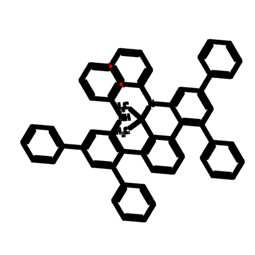 CC1(C)c2c(-c3c(Nc4ccccc4)cc(-c4ccccc4)cc3-c3ccccc3)cccc2-c2c(-c3ccccc3)cc(-c3ccccc3)cc2N1c1ccccc1